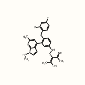 CPn1ccc2c(-c3cc(NS/C(C(C)=N)=C(\C)O)ccc3Oc3ccc(F)cc3F)cc(C)nc21